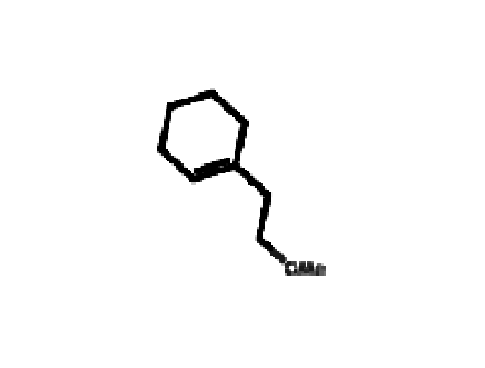 COCCC1=CCCCC1